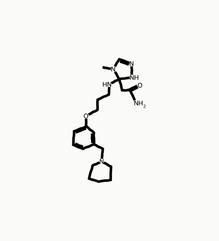 CN1C=NNC1(CC(N)=O)NCCCOc1cccc(CN2CCCCC2)c1